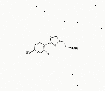 COCCn1cnc(-c2ccc(C(C)C)cc2F)n1